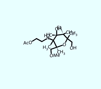 CC[C@]1(C)C(C)(CO)O[C@@](C)(COC)C(C)(NCCOC(C)=O)[C@]1(C)O